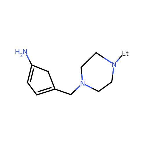 CCN1CCN(CC2=CC=C(N)C2)CC1